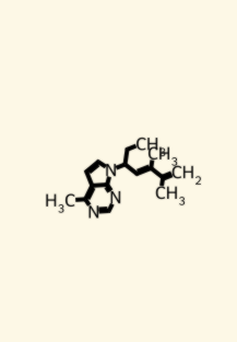 C=C(C)/C(C)=C/C(CC)n1ccc2c(C)ncnc21